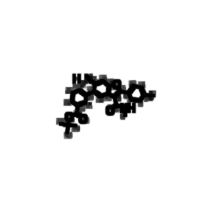 CNC(=O)c1c(-c2ccc(F)cc2)oc2cc(N)c(-c3cccc(C(=O)OC(C)(C)C)c3)cc12